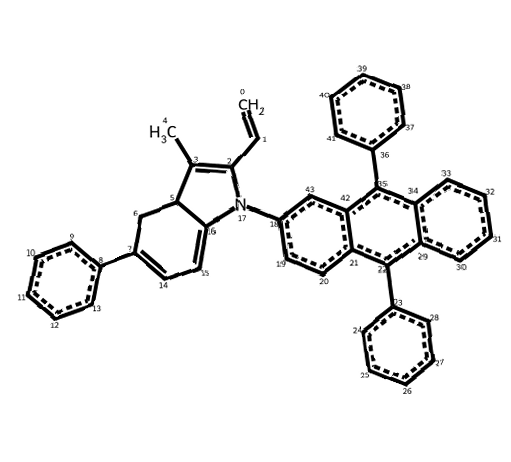 C=CC1=C(C)C2CC(c3ccccc3)=CC=C2N1c1ccc2c(-c3ccccc3)c3ccccc3c(-c3ccccc3)c2c1